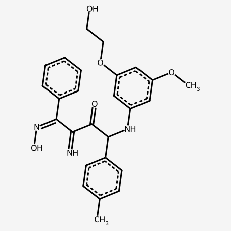 COc1cc(NC(C(=O)C(=N)/C(=N\O)c2ccccc2)c2ccc(C)cc2)cc(OCCO)c1